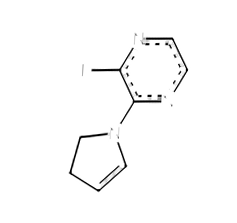 Fc1n[c]cnc1N1C=CCC1